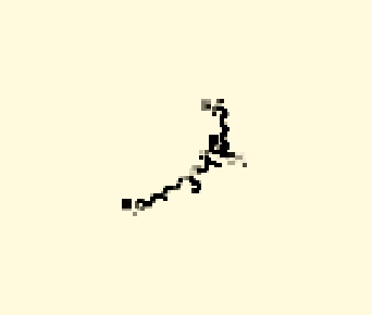 CCCCCCC(C)(C)OC(=O)COC(=O)CCCSCCC